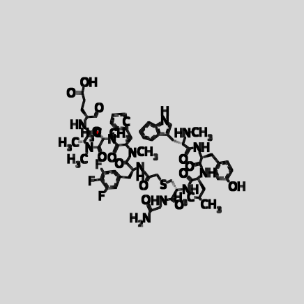 CN[C@@H](Cc1c[nH]c2ccccc12)C(=O)N[C@@H](Cc1ccc(O)cc1)C(=O)N[C@@H](CC(C)C)C(=O)N[C@@H](CSCC(=O)N[C@@H](Cc1cc(F)c(F)c(F)c1)C(=O)N(C)C(Cc1ccccc1)C(=O)N(C)[C@@H](C)C(=O)N(C)[C@H](C)C(=O)N[C@H](C=O)CCC(=O)O)C(=O)NCC(N)=O